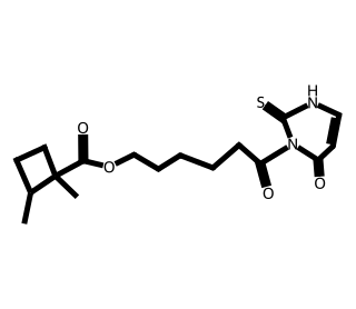 CC1CCC1(C)C(=O)OCCCCCC(=O)n1c(=O)cc[nH]c1=S